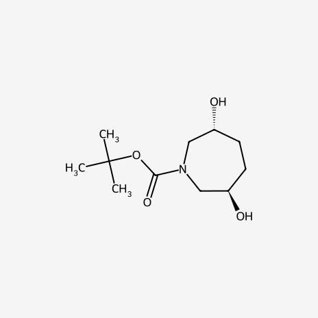 CC(C)(C)OC(=O)N1C[C@H](O)CC[C@@H](O)C1